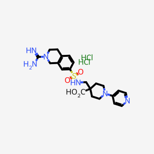 Cl.Cl.N=C(N)N1CCc2ccc(S(=O)(=O)NCC3(C(=O)O)CCN(c4ccncc4)CC3)cc2C1